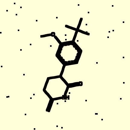 C=C1CCC(c2ccc(C(C)(C)C)c(OC)c2)C(=O)N1